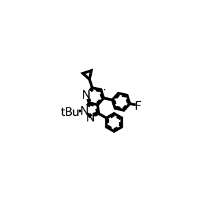 CC(C)(C)n1nc(-c2ccccc2)c2c(-c3ccc(F)cc3)[c]c(C3CC3)nc21